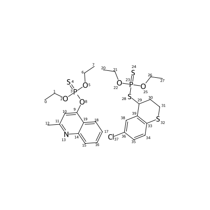 CCOP(=S)(OCC)Oc1cc(C)nc2ccccc12.CCOP(=S)(OCC)SC1CCSc2ccc(Cl)cc21